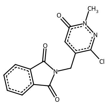 Cn1nc(Cl)c(CN2C(=O)c3ccccc3C2=O)cc1=O